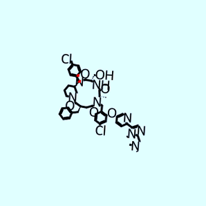 C[C@H]1C(=O)N[C@@H](CO)C(=O)N(C)[C@@]2(Cc3ccc(Cl)cc3)CCCN(C2)C(=O)[C@H](Cc2ccccc2)CC(=O)N1Cc1ccc(Cl)cc1Oc1ccc(-c2cnc(CN(C)C)n2C)nc1